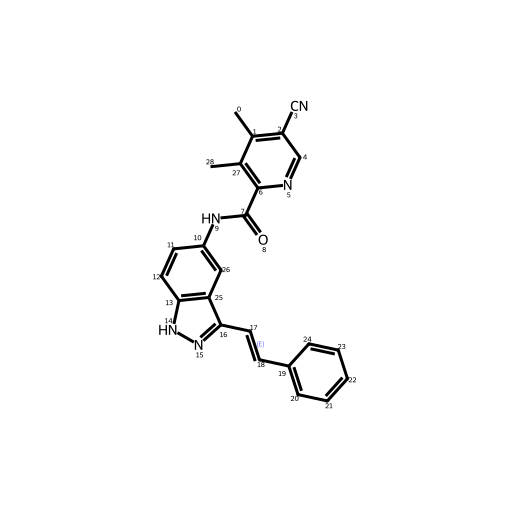 Cc1c(C#N)cnc(C(=O)Nc2ccc3[nH]nc(/C=C/c4ccccc4)c3c2)c1C